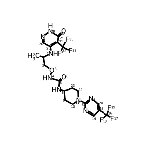 CC(CONC(=O)NC1CCN(c2ncc(C(F)(F)F)cn2)CC1)Nc1cn[nH]c(=O)c1C(F)(F)F